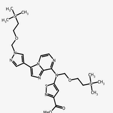 COC(=O)c1cc(N(COCC[Si](C)(C)C)c2nccn3c(-c4cnn(COCC[Si](C)(C)C)c4)cnc23)sn1